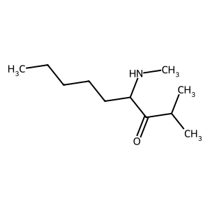 CCCCCC(NC)C(=O)C(C)C